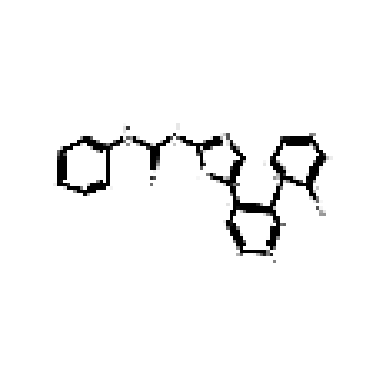 O=C(Nc1ccccc1)Nc1ncc(-c2ccncc2-c2ccccc2Cl)s1